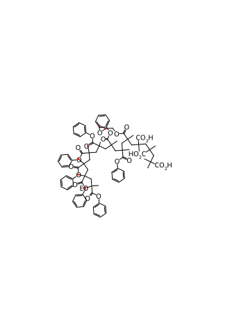 CCC(C)(CC(C)(CC(C)(CC(C)(CC(C)(CC(C)(CC(C)(CC(C)(CC(C)(CC(C)(CC(C)(C)C(=O)O)C(=O)O)C(=O)O)C(=O)OCC1CO1)C(=O)Oc1ccccc1)C(=O)Oc1ccccc1)C(=O)Oc1ccccc1)C(=O)Oc1ccccc1)C(=O)Oc1ccccc1)C(=O)Oc1ccccc1)C(=O)Oc1ccccc1